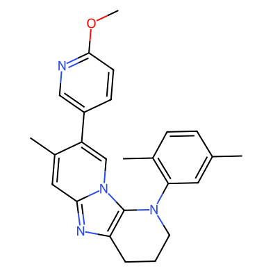 COc1ccc(-c2cn3c4c(nc3cc2C)CCCN4c2cc(C)ccc2C)cn1